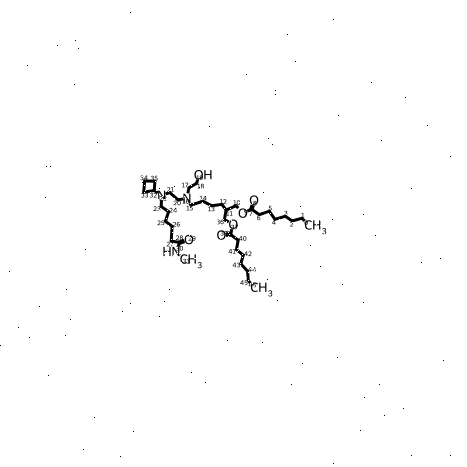 CCCCCCCC(=O)OCC(CCCCN(CCO)CCN(CCCCCC(=O)NC)C1CCC1)COC(=O)CCCCCCC